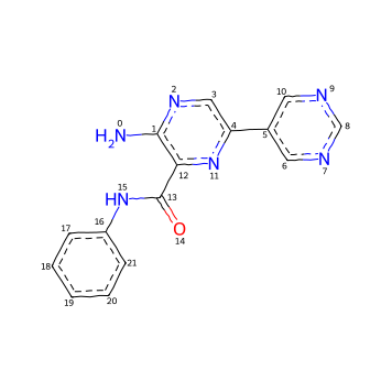 Nc1ncc(-c2cncnc2)nc1C(=O)Nc1ccccc1